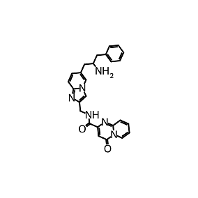 NC(Cc1ccccc1)Cc1ccc2nc(CNC(=O)c3cc(=O)n4ccccc4n3)cn2c1